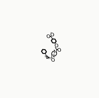 COC(=O)c1ccc(OCC(=O)N2CCN(C(=O)[C@@H]3C[C@H]3c3ccccc3)CC2)cc1